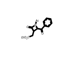 CCOC(=O)CC1C(=O)N(C(C)=O)C1C(=O)c1ccccc1